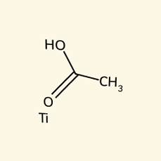 CC(=O)O.[Ti]